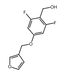 OCc1c(F)cc(OCc2ccoc2)cc1F